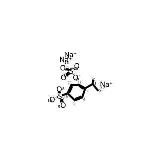 CC(C)c1ccc(S(=O)(=O)[O-])cc1.O=S(=O)([O-])[O-].[Na+].[Na+].[Na+]